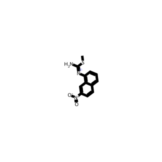 CS/C(N)=N\c1cccc2ccc([N+](=O)[O-])cc12